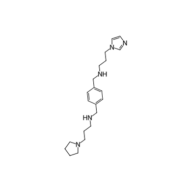 c1cn(CCCNCc2ccc(CNCCCN3CCCC3)cc2)cn1